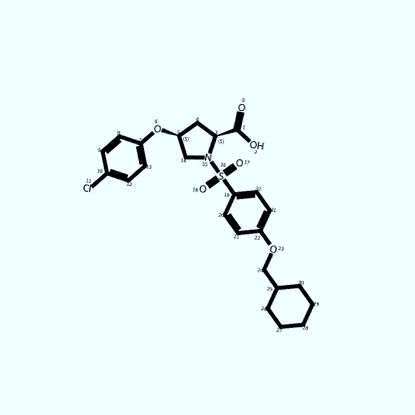 O=C(O)[C@@H]1C[C@H](Oc2ccc(Cl)cc2)CN1S(=O)(=O)c1ccc(OCC2CCCCC2)cc1